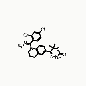 CC(C)/N=C(/c1ccc(Cl)cc1Cl)N1CCCc2cc(C3=NNC(=O)SC3(C)C)ccc21